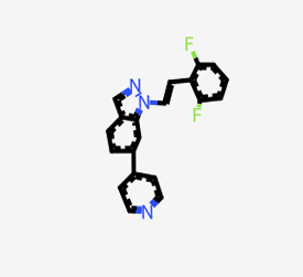 Fc1cccc(F)c1C=Cn1ncc2ccc(-c3ccncc3)cc21